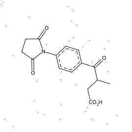 CC(CC(=O)O)C(=O)c1ccc(N2C(=O)CCC2=O)cc1